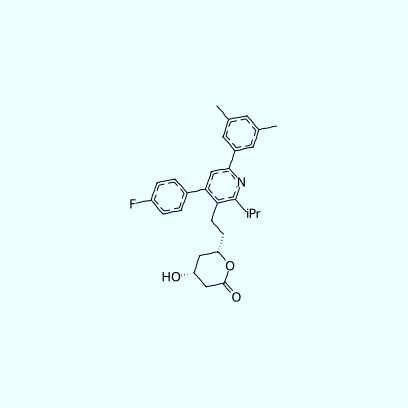 Cc1cc(C)cc(-c2cc(-c3ccc(F)cc3)c(CC[C@H]3C[C@@H](O)CC(=O)O3)c(C(C)C)n2)c1